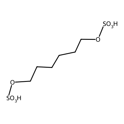 O=S(=O)(O)OCCCCCCOS(=O)(=O)O